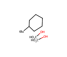 CC(C)(C)C1CCCCC1.O=C(O)O.O=C(O)O